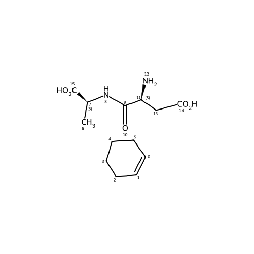 C1=CCCCC1.C[C@H](NC(=O)[C@@H](N)CC(=O)O)C(=O)O